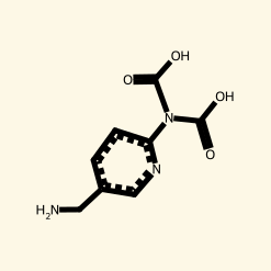 NCc1ccc(N(C(=O)O)C(=O)O)nc1